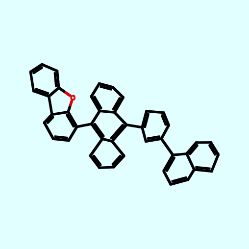 c1cc(-c2cccc3ccccc23)cc(-c2c3ccccc3c(-c3cccc4c3oc3ccccc34)c3ccccc23)c1